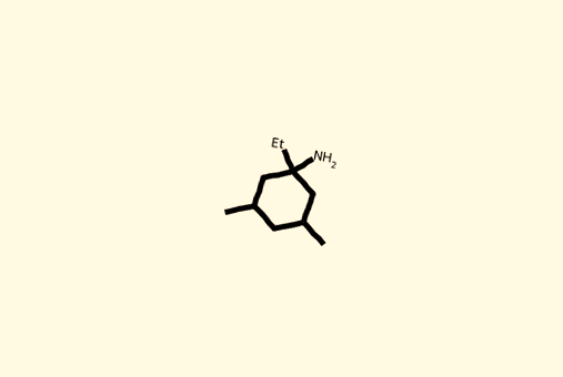 CCC1(N)CC(C)CC(C)C1